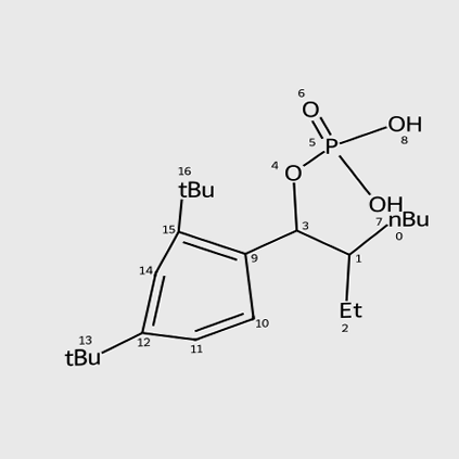 CCCCC(CC)C(OP(=O)(O)O)c1ccc(C(C)(C)C)cc1C(C)(C)C